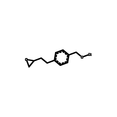 CCOCc1ccc(CCC2CO2)cc1